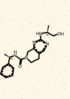 C[C@@H](CO)Nc1ncc2c(n1)CN(C(=O)N[C@H](C)c1ccccc1)CC2